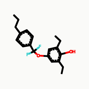 CCCc1ccc(C(F)(F)Oc2cc(CC)c(O)c(CC)c2)cc1